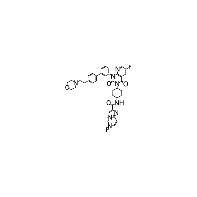 O=C(NC1CCC(n2c(=O)c3cc(F)cnc3n(-c3cccc(-c4ccc(CCN5CCOCC5)cc4)c3)c2=O)CC1)C1=C[N+]2CN(F)C=CC2=N1